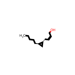 CCCCC[C@@H]1C[C@H]1C/C=C\CO